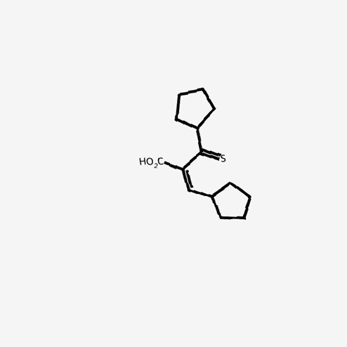 O=C(O)C(=CC1CCCC1)C(=S)C1CCCC1